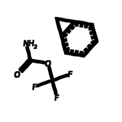 NC(=O)OC(F)(F)F.c1ccc2c(c1)C2